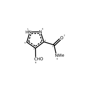 CNC(=O)c1n[nH]cc1C=O